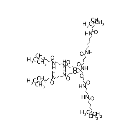 CC(C)(C)/C=C/C(=O)NCCCCCCNC(=O)CCCC(=O)NC(COCCC(=O)NCCCNC(=O)CCCCC(C)(C)C)(COCCC(=O)NCCCNC(=O)CCCCC(C)(C)C)COCCC(=O)NCCCNC(=O)CCCCC(C)(C)C